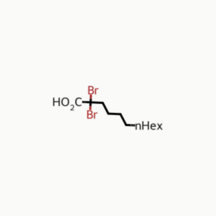 CCCCCCCCCCC(Br)(Br)C(=O)O